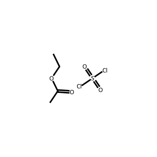 CCOC(C)=O.O=S(=O)(Cl)Cl